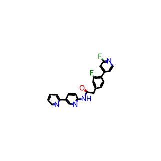 O=C(Cc1ccc(-c2ccnc(F)c2)c(F)c1)Nc1ccc(-c2ccccn2)cn1